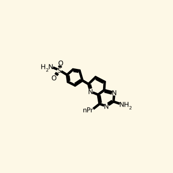 CCCc1nc(N)nc2ccc(-c3ccc(S(N)(=O)=O)cc3)nc12